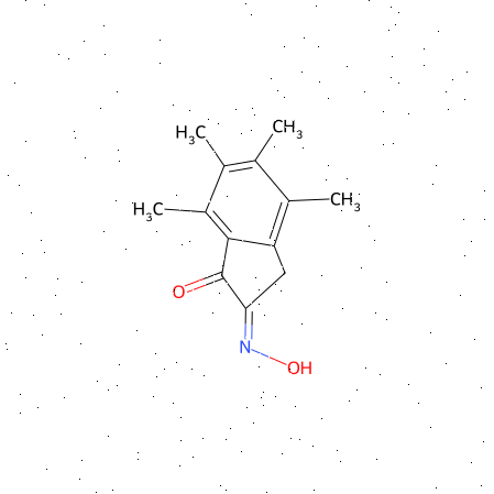 Cc1c(C)c(C)c2c(c1C)C/C(=N\O)C2=O